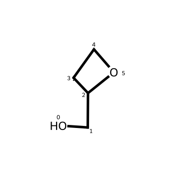 OCC1[CH]CO1